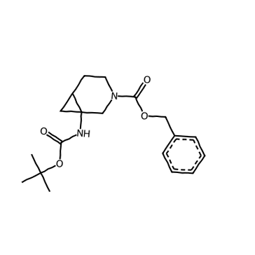 CC(C)(C)OC(=O)NC12CC1CCN(C(=O)OCc1ccccc1)C2